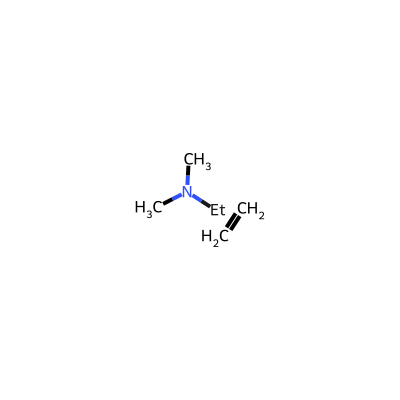 C=C.CCN(C)C